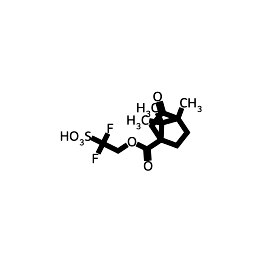 CC12CCC(C(=O)OCC(F)(F)S(=O)(=O)O)(CC1=O)C2(C)C